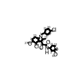 COc1cc(NC(=O)C(=O)c2c(C)n(Cc3ccc(Cl)cc3)c3ccc(OC)c(Cl)c23)ccn1